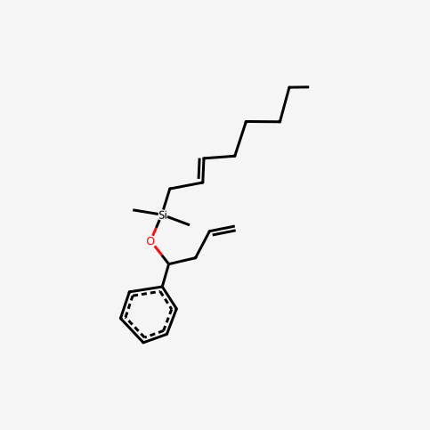 C=CCC(O[Si](C)(C)CC=CCCCCC)c1ccccc1